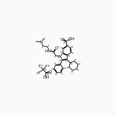 CN(C)CCNC(=O)Cn1c(-c2ccccc2)c(C2CCCCC2)c2ccc(C(=O)O)cc21.O=C(O)C(F)(F)F